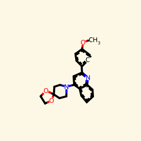 COc1ccc(-c2cc(N3CCC4(CC3)OCCO4)c3ccccc3n2)cc1